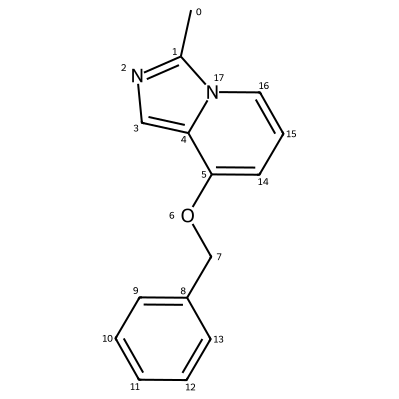 Cc1ncc2c(OCc3ccccc3)cccn12